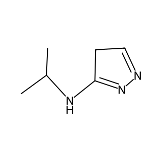 CC(C)NC1=NN=CC1